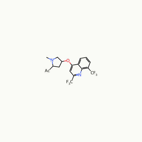 CC(=O)C1CC(Oc2cc(C(F)(F)F)nc3c(C(F)(F)F)cccc23)CN1C